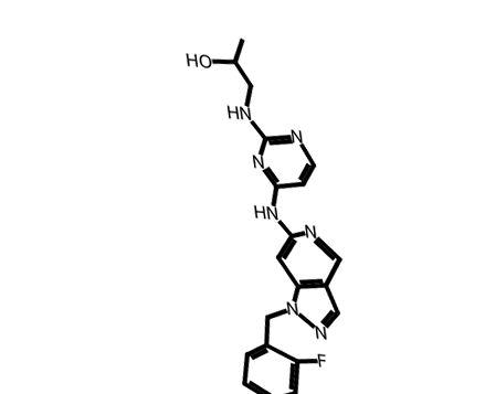 CC(O)CNc1nccc(Nc2cc3c(cn2)cnn3Cc2ccccc2F)n1